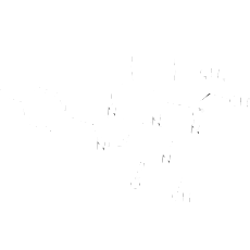 CCN1C(=O)c2nc(-c3ccc(F)cc3)n(CC3CCCCC3)c2N2C[C@@H](C(C)C)N=C12